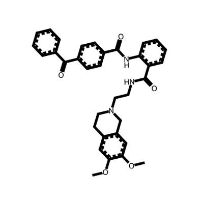 COc1cc2c(cc1OC)CN(CCNC(=O)c1ccccc1NC(=O)c1ccc(C(=O)c3ccccc3)cc1)CC2